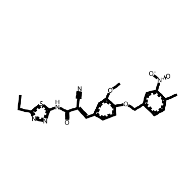 CCc1nnc(NC(=O)/C(C#N)=C/c2ccc(OCc3ccc(C)c([N+](=O)[O-])c3)c(OC)c2)s1